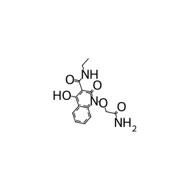 CCNC(=O)c1c(O)c2ccccc2n(OCC(N)=O)c1=O